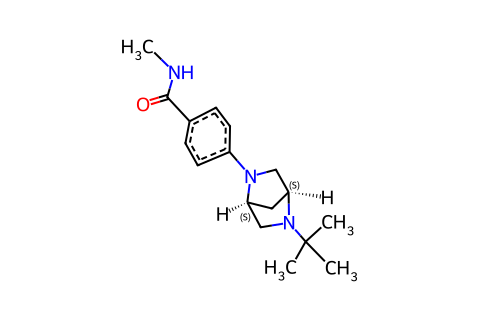 CNC(=O)c1ccc(N2C[C@@H]3C[C@H]2CN3C(C)(C)C)cc1